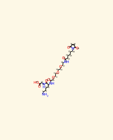 NCCCCC(NC(=O)COCCOCCOCCNC(=O)CCCCCN1C(=O)C=CC1=O)C(=O)NCC(=O)O